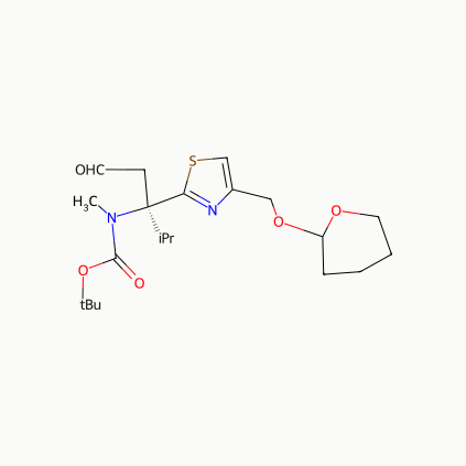 CC(C)[C@](CC=O)(c1nc(COC2CCCCO2)cs1)N(C)C(=O)OC(C)(C)C